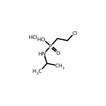 CC(C)NP(=O)(O)CCCl.Cl